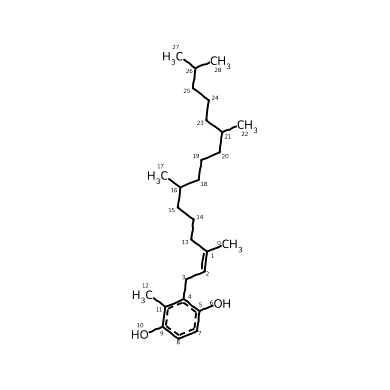 CC(=CCc1c(O)ccc(O)c1C)CCCC(C)CCCC(C)CCCC(C)C